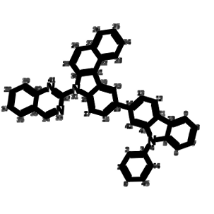 c1ccc(-n2c3ccccc3c3ccc(-c4ccc5c(c4)c4c6ccccc6ccc4n5-c4ncc5ccccc5n4)cc32)cc1